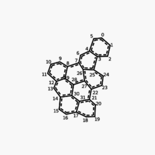 c1ccc2c(c1)cc1c3cccc4cc5ccc6cccc7c8ccc2c1c8c(c43)c5c67